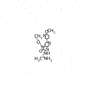 CCCOCCn1c(=O)c(NC[C@H](C)N)nc2cnc(-c3ccc(OC)nc3)cc21